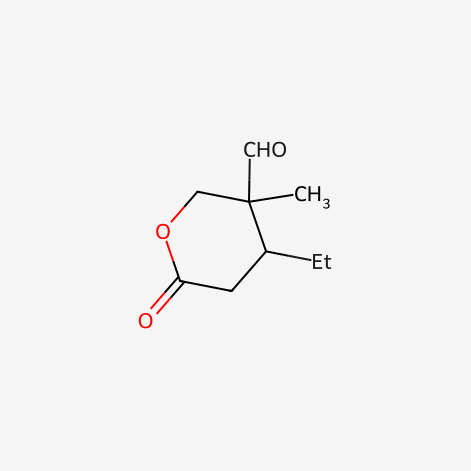 CCC1CC(=O)OCC1(C)C=O